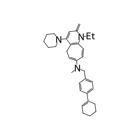 C=C1C=C(N2CCCCC2)C2=C(C=CC(N(C)Cc3ccc(C4=CCCCC4)cc3)=CC2)N1CC